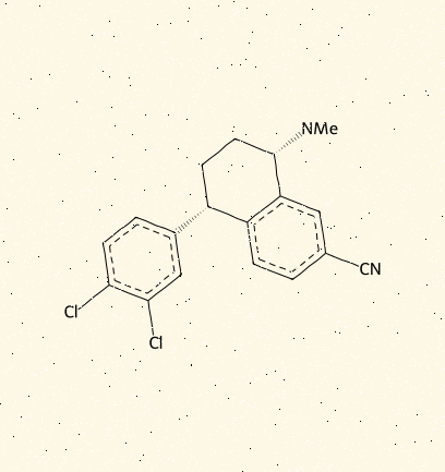 CN[C@H]1CC[C@@H](c2ccc(Cl)c(Cl)c2)c2ccc(C#N)cc21